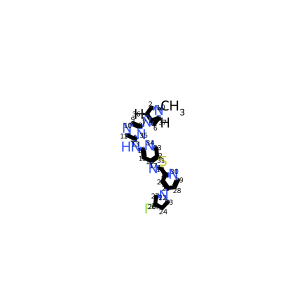 CN1C[C@@H]2C[C@H]1CN2c1cncc(Nc2cc3nc(-c4cc(N5CC[C@@H](F)C5)ccn4)sc3cn2)n1